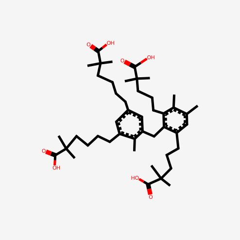 Cc1cc(CCCC(C)(C)C(=O)O)c(Cc2cc(CCCCC(C)(C)C(=O)O)cc(CCCCC(C)(C)C(=O)O)c2C)c(CCCC(C)(C)C(=O)O)c1C